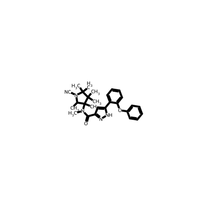 CC1N(C#N)C(C)(C)C(C)(C)C1(C)N(C)C(=O)c1cc(-c2ccccc2Oc2ccccc2)[nH]n1